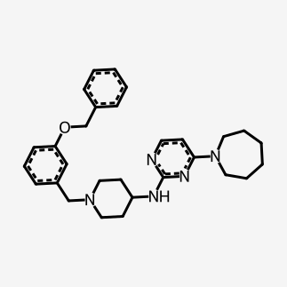 c1ccc(COc2cccc(CN3CCC(Nc4nccc(N5CCCCCC5)n4)CC3)c2)cc1